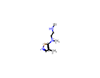 CCNCCN(C)c1sncc1C